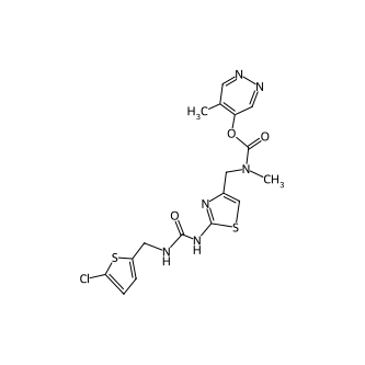 Cc1cnncc1OC(=O)N(C)Cc1csc(NC(=O)NCc2ccc(Cl)s2)n1